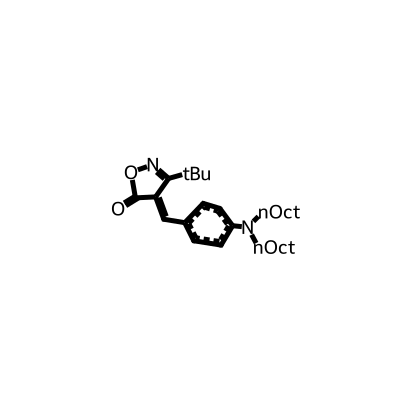 CCCCCCCCN(CCCCCCCC)c1ccc(C=C2C(=O)ON=C2C(C)(C)C)cc1